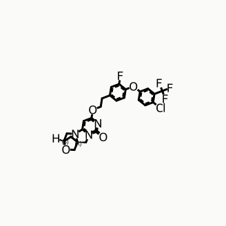 O=c1nc(OCCc2ccc(Oc3ccc(Cl)c(C(F)(F)F)c3)c(F)c2)cc2n1C[C@]13CO[C@H](CN21)C3